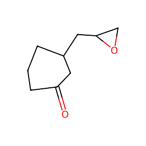 O=C1CCCC(CC2CO2)C1